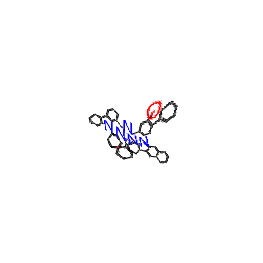 c1ccc(-c2nc(-c3cc4oc5ccccc5c4cc3-n3c4ccccc4c4cc5ccccc5cc43)nc(-c3cccc4c5ccccc5n(-c5ccccc5)c34)n2)cc1